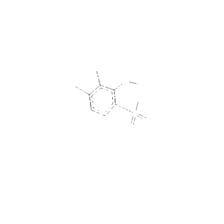 COc1c(S(=O)(=O)Cl)ccc(F)c1F